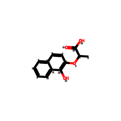 CC(Oc1ccc2ccccc2c1O)C(=O)O